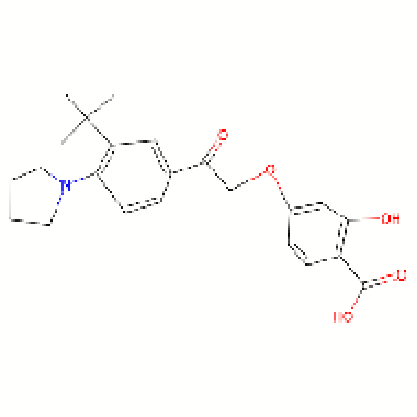 CC(C)(C)c1cc(C(=O)COc2ccc(C(=O)O)c(O)c2)ccc1N1CCCC1